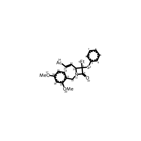 CCC1(Sc2ccccc2)C(=O)N(Cc2ccc(OC)cc2OC)C1C=CC(C)=O